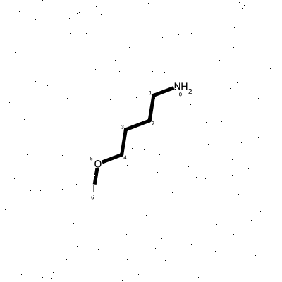 NCCCCOI